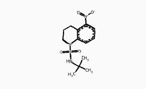 CC(C)(C)NS(=O)(=O)N1CCCc2c1cccc2[N+](=O)[O-]